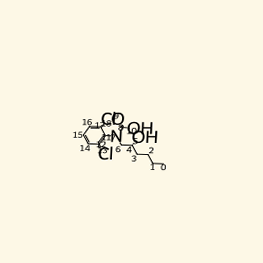 CCCC[C@@H](O)CN(C(=O)O)c1c(Cl)cccc1Cl